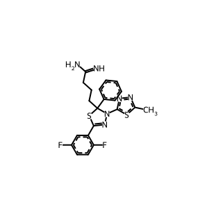 Cc1nnc(N2N=C(c3cc(F)ccc3F)SC2(CCCC(=N)N)c2ccccc2)s1